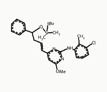 COc1cc(/C=C/CC(O[Si](C)(C)C(C)(C)C)c2ccccc2)nc(Nc2cccc(Cl)c2C)n1